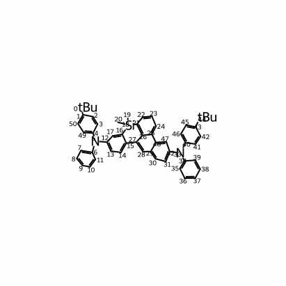 CC(C)(C)c1ccc(N(c2ccccc2)c2ccc3c(c2)[Si](C)(C)c2cccc4c2c-3cc2ccc(N(c3ccccc3)c3ccc(C(C)(C)C)cc3)cc24)cc1